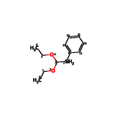 CCOC(OCC)[SiH2]c1cc[c]cc1